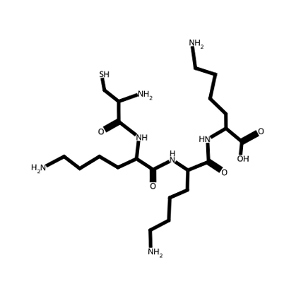 NCCCCC(NC(=O)C(CCCCN)NC(=O)C(CCCCN)NC(=O)C(N)CS)C(=O)O